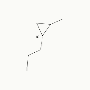 CC1C[C@H]1CCI